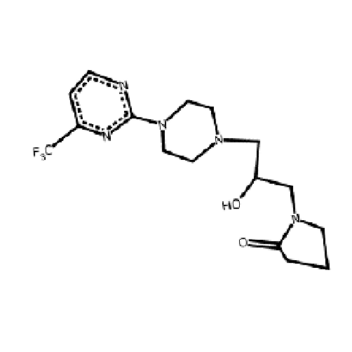 O=C1CCCN1CC(O)CN1CCN(c2nccc(C(F)(F)F)n2)CC1